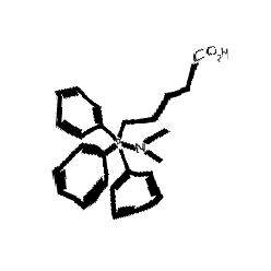 CN(C)P(CCCCC(=O)O)(c1ccccc1)(c1ccccc1)c1ccccc1